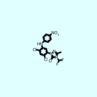 Cc1nn(-c2cc(Nc3ccc([N+](=O)[O-])cc3)c(Cl)cc2Cl)c(=O)n1C(F)F